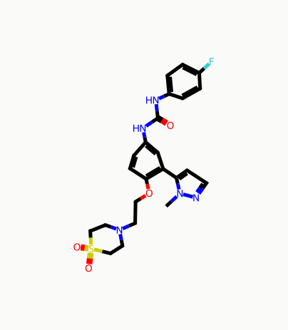 Cn1nccc1-c1cc(NC(=O)Nc2ccc(F)cc2)ccc1OCCN1CCS(=O)(=O)CC1